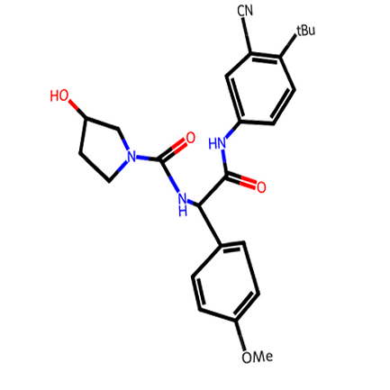 COc1ccc(C(NC(=O)N2CCC(O)C2)C(=O)Nc2ccc(C(C)(C)C)c(C#N)c2)cc1